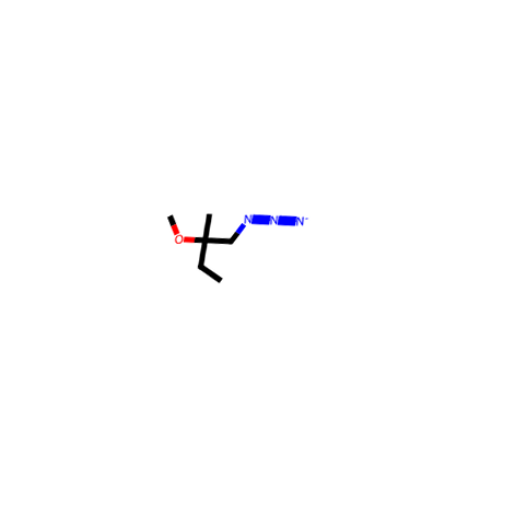 CCC(C)(CN=[N+]=[N-])OC